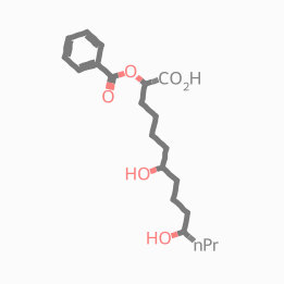 CCCC(O)CCCC(O)CCCCC(OC(=O)c1ccccc1)C(=O)O